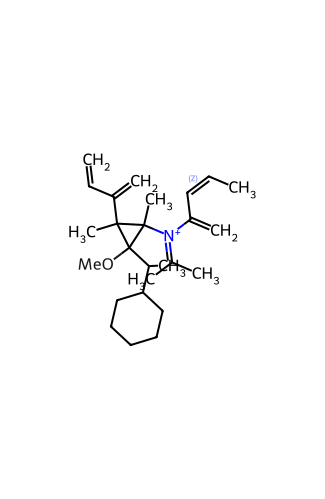 C=CC(=C)C1(C)C(OC)(C(C)C2CCCCC2)C1(C)[N+](C(=C)/C=C\C)=C(C)C